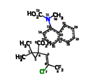 CC1(C)CC1(C=C(Cl)C(F)(F)F)C(=O)O.CN(C(=O)O)c1cccc2ccccc12